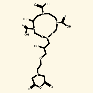 CC1CN(C(=O)O)CCN(C(=O)O)CCN(CC(O)COCCN2CC(=O)OC(=O)C2)CCN1C(=O)O